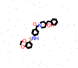 O=C(c1ccc(NSc2cccc3c2OCCO3)cc1)N1CCC(O)(Cc2ccccc2)CC1